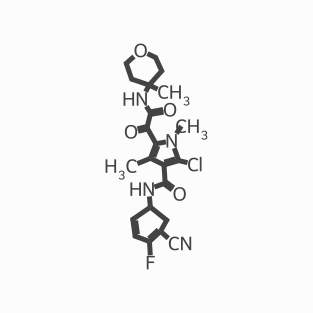 Cc1c(C(=O)NC2C=CC(F)=C(C#N)C2)c(Cl)n(C)c1C(=O)C(=O)NC1(C)CCOCC1